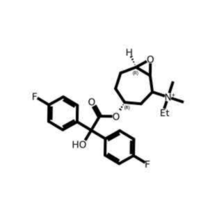 CC[N+](C)(C)C1C[C@H](OC(=O)C(O)(c2ccc(F)cc2)c2ccc(F)cc2)CC[C@H]2OC12